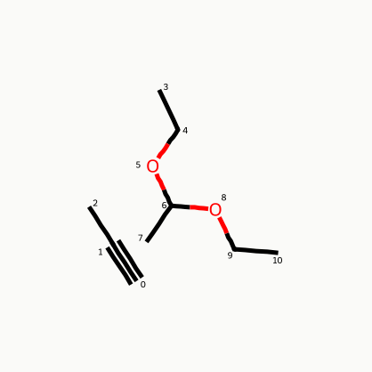 C#CC.CCOC(C)OCC